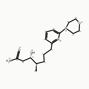 C[C@H](CCCc1cccc(N2CCOCC2)n1)[C@@H](O)CC(N)=O